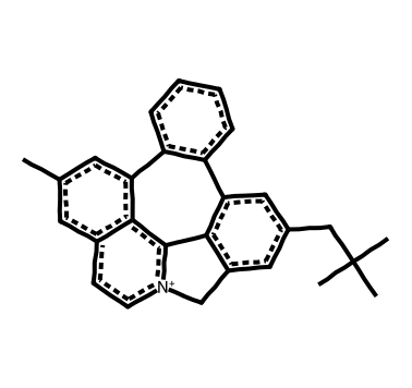 Cc1cc2c3c4[n+](ccc3c1)Cc1cc(CC(C)(C)C)cc(c1-4)-c1ccccc1-2